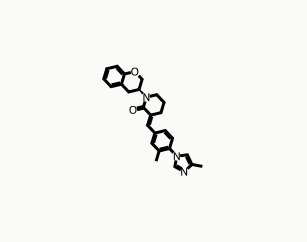 Cc1cn(-c2ccc(/C=C3\CCCN([C@@H]4COc5ccccc5C4)C3=O)cc2C)cn1